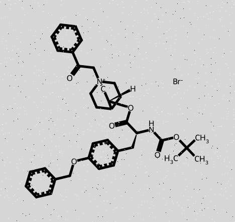 CC(C)(C)OC(=O)N[C@@H](Cc1ccc(OCc2ccccc2)cc1)C(=O)O[C@H]1C[N+]2(CC(=O)c3ccccc3)CCC1CC2.[Br-]